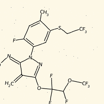 C=C1C(OC(F)(F)C(F)OC(F)(F)F)=NN(c2cc(SCC(F)(F)F)c(C)cc2F)C1=NO